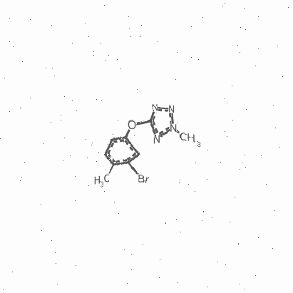 Cc1ccc(Oc2nnn(C)n2)cc1Br